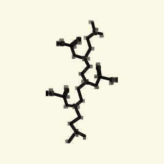 CN(C)CCN(CCN(CCN(CCN(C)C)CC(=O)O)CC(=O)O)CC(=O)O